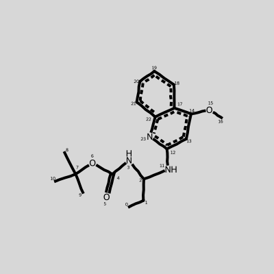 CCC(NC(=O)OC(C)(C)C)Nc1cc(OC)c2ccccc2n1